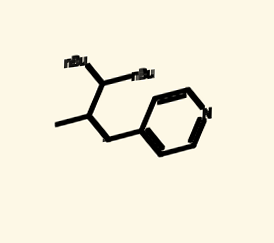 CCCCC(CCCC)C(C)[CH]c1ccncc1